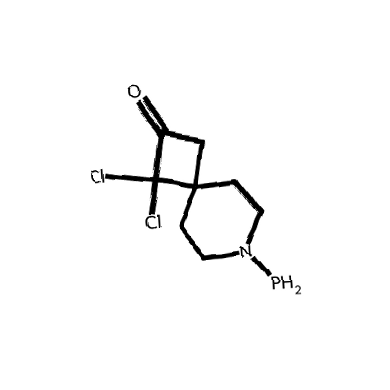 O=C1CC2(CCN(P)CC2)C1(Cl)Cl